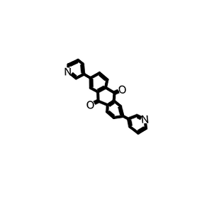 O=C1c2ccc(-c3cccnc3)cc2C(=O)c2ccc(-c3cccnc3)cc21